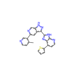 Cc1ccncc1-c1cc2c(-c3nc4c(-c5cccs5)ccnc4[nH]3)n[nH]c2cn1